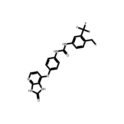 O=C(Nc1ccc(Oc2ccnc3[nH]c(=O)[nH]c23)cc1)Nc1ccc(CI)c(C(F)(F)F)c1